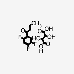 CCCC(=O)c1cc(F)c(F)cc1F.O=C(O)C(O)C(O)C(=O)O